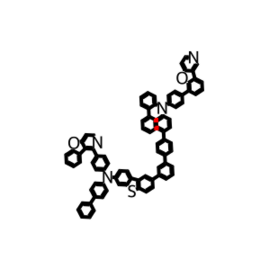 c1ccc(-c2ccc(N(c3ccc(-c4nccc5oc6ccccc6c45)cc3)c3ccc4c(c3)sc3ccc(-c5cccc(-c6ccc(-c7ccc(N(c8ccc(-c9cccc%10c9oc9ccncc9%10)cc8)c8ccccc8-c8ccccc8)cc7)cc6)c5)cc34)cc2)cc1